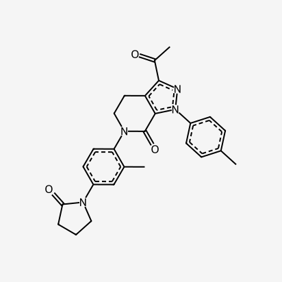 CC(=O)c1nn(-c2ccc(C)cc2)c2c1CCN(c1ccc(N3CCCC3=O)cc1C)C2=O